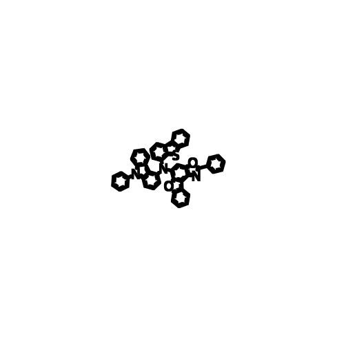 c1ccc(-c2nc3c(cc(N(c4cccc5c4sc4ccccc45)c4cccc5c4c4ccccc4n5-c4ccccc4)c4oc5ccccc5c43)o2)cc1